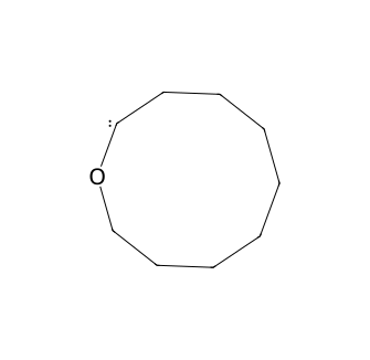 [C]1CCCCCCCCO1